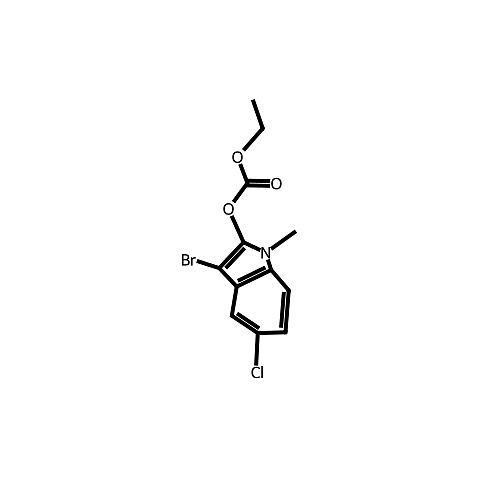 CCOC(=O)Oc1c(Br)c2cc(Cl)ccc2n1C